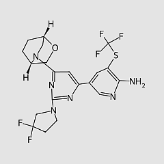 Nc1ncc(-c2cc(N3C[C@@H]4CC[C@H]3CO4)nc(N3CCC(F)(F)C3)n2)cc1SC(F)(F)F